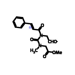 COC(=O)CN(C)C(=O)N(C[C]=O)C(=O)/C=C/c1ccccc1